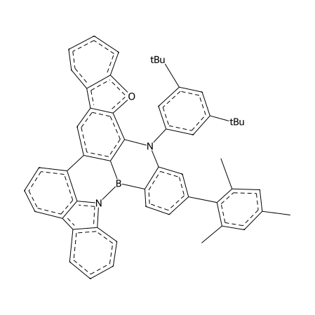 Cc1cc(C)c(-c2ccc3c(c2)N(c2cc(C(C)(C)C)cc(C(C)(C)C)c2)c2c4c(cc5c2oc2ccccc25)-c2cccc5c6ccccc6n(c25)B34)c(C)c1